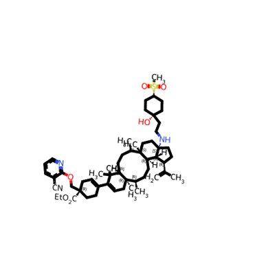 C=C(C)[C@@H]1CC[C@]2(NCC[C@]3(O)CC[C@H](S(C)(=O)=O)CC3)CC[C@@]3(C)[C@H](C)CC[C@H]4C(C)(C)C(C5=CC[C@](COc6ncccc6C#N)(C(=O)OCC)CC5)=CC[C@]4(C)[C@H](C)CC[C@@H]3[C@@H]12